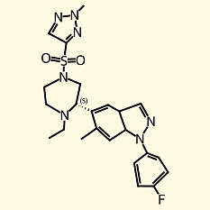 CCN1CCN(S(=O)(=O)c2cnn(C)n2)C[C@@H]1C1=CC2C=NN(c3ccc(F)cc3)C2C=C1C